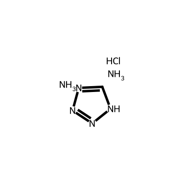 Cl.N.N.c1nnn[nH]1